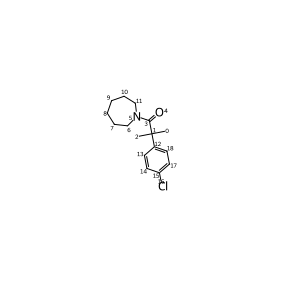 CC(C)(C(=O)N1CCCCCC1)c1ccc(Cl)cc1